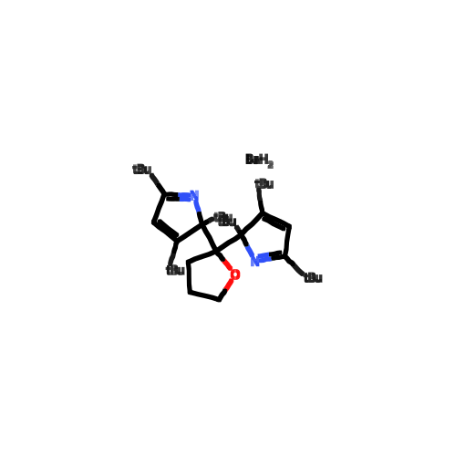 CC(C)(C)C1=CC(C(C)(C)C)=NC1(C(C)(C)C)C1(C2(C(C)(C)C)N=C(C(C)(C)C)C=C2C(C)(C)C)CCCO1.[BaH2]